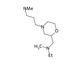 CCN(C)CC1CN(CCCNC)CCO1